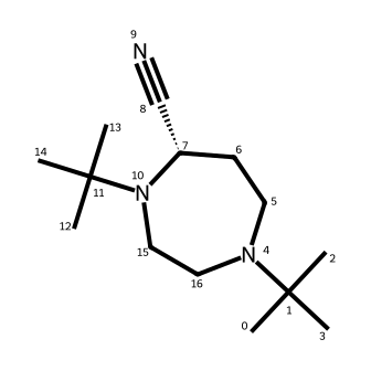 CC(C)(C)N1CC[C@@H](C#N)N(C(C)(C)C)CC1